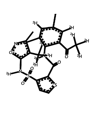 [2H]c1c(C)c([2H])c(C(=O)C([2H])([2H])[2H])c(N([2H])C(=O)c2sccc2S(=O)(=O)N([2H])c2onc(C)c2C([2H])([2H])[2H])c1C